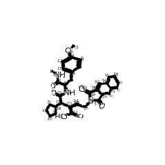 CNC(=O)C(Cc1ccc(OC)cc1)NC(=O)C(C1CCCC1)C(CCN1C(=O)c2cc3ccccc3cc2C1=O)C(=O)O